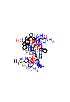 CSCC[C@H](NC(=O)[C@H](CC(C)C)NC(=O)[C@H](Cc1c[nH]cn1)NC(=O)CNC(=O)[C@@H](NC(=O)[C@H](C)NC(=O)[C@H](Cc1c[nH]c2ccccc12)NC(=O)[C@H](CCC(N)=O)N(N)C(=O)CC[C@@H](C)[C@H]1CC[C@H]2[C@@H]3C(O)CC4CCCC[C@]4(C)[C@H]3CC(O)[C@]12C)C(C)C)C(N)=O